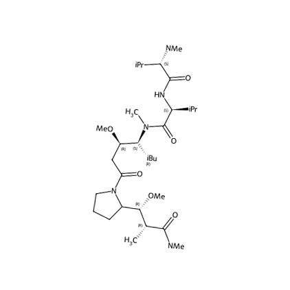 CC[C@@H](C)[C@@H]([C@@H](CC(=O)N1CCCC1[C@H](OC)[C@@H](C)C(=O)NC)OC)N(C)C(=O)[C@@H](NC(=O)[C@@H](NC)C(C)C)C(C)C